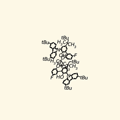 C[C@H](C[C@H](C)Oc1ccc(F)cc1-c1cc(C(C)(C)CC(C)(C)C)cc(-n2c3ccc(C(C)(C)C)cc3c3cc(C(C)(C)C)ccc32)c1O)Oc1ccc(F)cc1-c1cc(C(C)(C)CC(C)(C)C)cc(-n2c3ccc(C(C)(C)C)cc3c3cc(C(C)(C)C)ccc32)c1O